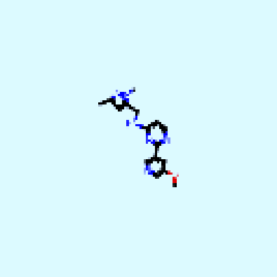 COc1cncc(-c2nccc(NCc3cc(C)nn3C)n2)c1